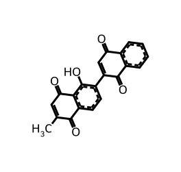 CC1=CC(=O)c2c(ccc(C3=CC(=O)c4ccccc4C3=O)c2O)C1=O